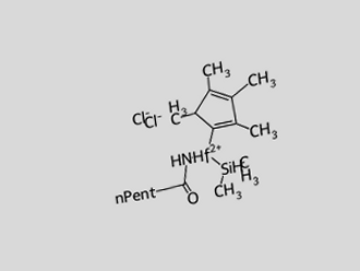 CCCCCC(=O)[NH][Hf+2]([C]1=C(C)C(C)=C(C)C1C)[SiH](C)C.[Cl-].[Cl-]